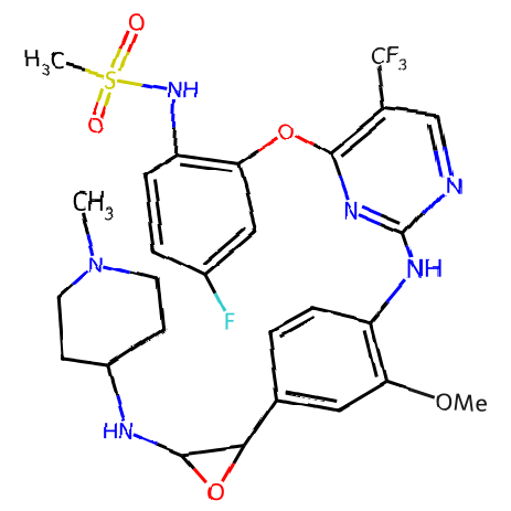 COc1cc(C2OC2NC2CCN(C)CC2)ccc1Nc1ncc(C(F)(F)F)c(Oc2cc(F)ccc2NS(C)(=O)=O)n1